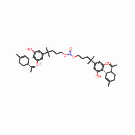 C=C(C)[C@H]1CCC(C)=C[C@@H]1c1c(O)cc(C(C)(C)CCCO[N+](=O)OCCCC(C)(C)c2cc(O)c([C@H]3C=C(C)CC[C@@H]3C(=C)C)c(O)c2)cc1O